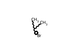 CCCCCCC(CCCCCC)Cc1ccc(Br)cc1